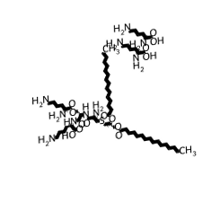 CCCCCCCCCCCCCCCC(=O)OC[C@H](CSC[C@@H](N)C(=O)N[C@@H](COC(=O)[C@@H](N)CCCCN)C(=O)N[C@H](CCCCN)C(=O)O)OC(=O)CCCCCCCCCCCCCCC.NCCCC[C@H](N)C(=O)O.NCCCC[C@H](N)C(=O)O